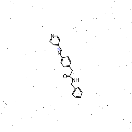 O=C(Cc1ccc(/N=C/c2ccncc2)cc1)NCc1ccccc1